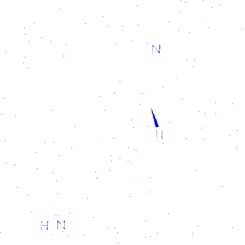 CCN1CC[C@H](N(C)c2ccc(N)cc2)C1